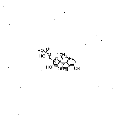 CS[C@@]1(n2cnc3c(O)ncnc32)O[C@H](COP(=O)(O)O)[C@@H](O)[C@H]1O